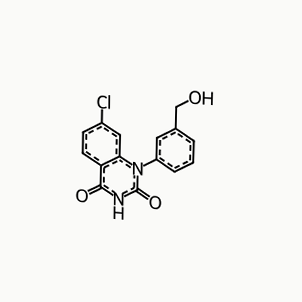 O=c1[nH]c(=O)n(-c2cccc(CO)c2)c2cc(Cl)ccc12